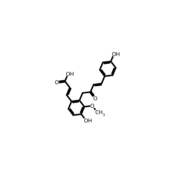 COc1c(O)ccc(C=CC(=O)O)c1CC(=O)C=Cc1ccc(O)cc1